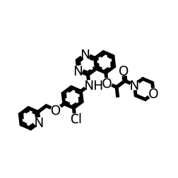 CC(Oc1cccc2ncnc(Nc3ccc(OCc4ccccn4)c(Cl)c3)c12)C(=O)N1CCOCC1